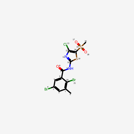 Cc1cc(Br)cc(C(=O)Nc2nc(Cl)c(S(C)(=O)=O)s2)c1Br